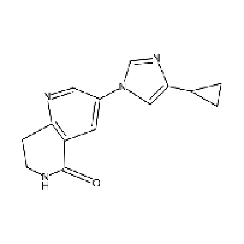 O=C1NCCc2ncc(-n3cnc(C4CC4)c3)cc21